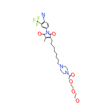 COCCOCCOCC(=O)N1CCN(CCCCCCCCC2=C(C)C(=O)N(c3ccc(C#N)c(C(F)(F)F)c3)C2=O)CC1